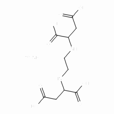 N.O=C(O)CC(NCCNC(CC(=O)O)C(=O)O)C(=O)O.[Fe]